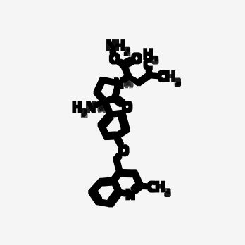 Cc1cc(COc2ccc([C@]3(N)CCN([C@H](CC(C)C)C(=O)ON)C3=O)cc2)c2ccccc2n1